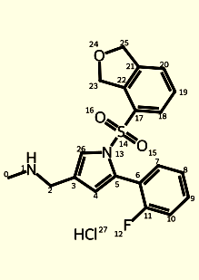 CNCc1cc(-c2ccccc2F)n(S(=O)(=O)c2cccc3c2COC3)c1.Cl